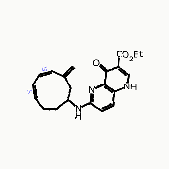 C=C1/C=C\C=C/CCC(Nc2ccc3[nH]cc(C(=O)OCC)c(=O)c3n2)C1